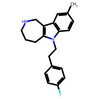 Cc1ccc2c(c1)c1c(n2CCc2ccc(F)cc2)CCCNC1